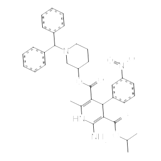 CC1=C(C(=O)OC2CCCN(C(c3ccccc3)c3ccccc3)C2)C(c2cccc([N+](=O)[O-])c2)C(C(=O)OC(C)C)=C(N)N1